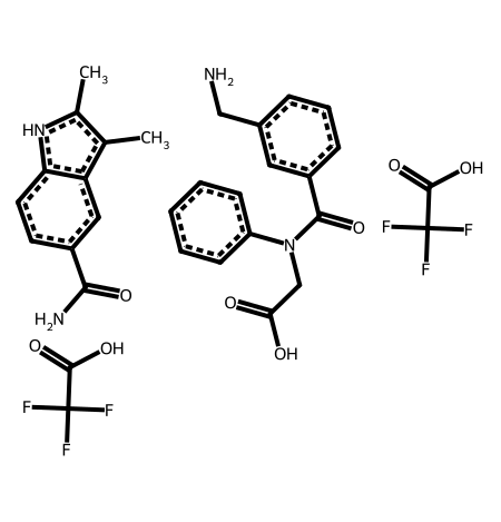 Cc1[nH]c2ccc(C(N)=O)cc2c1C.NCc1cccc(C(=O)N(CC(=O)O)c2ccccc2)c1.O=C(O)C(F)(F)F.O=C(O)C(F)(F)F